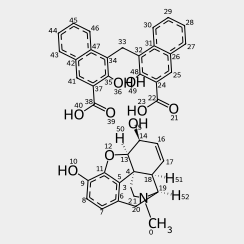 CN1CC[C@]23c4c5ccc(O)c4O[C@H]2[C@@H](O)C=C[C@H]3[C@H]1C5.O=C(O)c1cc2ccccc2c(Cc2c(O)c(C(=O)O)cc3ccccc23)c1O